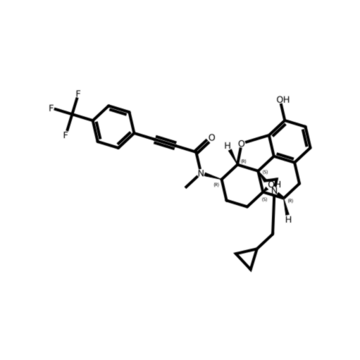 CN(C(=O)C#Cc1ccc(C(F)(F)F)cc1)[C@@H]1CC[C@@]2(O)[C@H]3Cc4ccc(O)c5c4[C@@]2(CCN3CC2CC2)[C@H]1O5